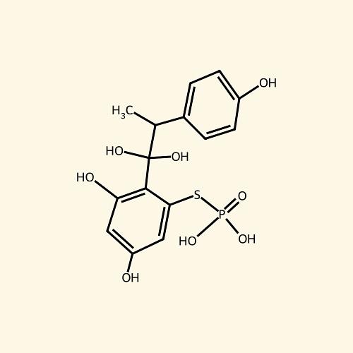 CC(c1ccc(O)cc1)C(O)(O)c1c(O)cc(O)cc1SP(=O)(O)O